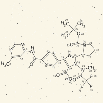 Cc1ccnc(NC(=O)c2ccc(-c3nc(C4CCCN4C(=O)OC(C)(C)C)n(N(C)C(=O)C(F)(F)F)c3C(=O)O)cc2)c1